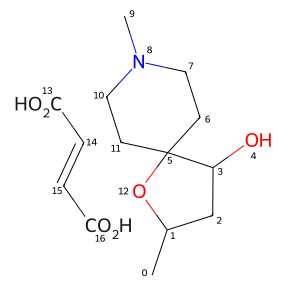 CC1CC(O)C2(CCN(C)CC2)O1.O=C(O)C=CC(=O)O